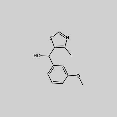 COc1cccc(C(O)c2scnc2C)c1